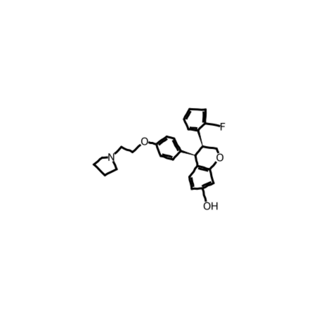 Oc1ccc2c(c1)OC[C@H](c1ccccc1F)[C@@H]2c1ccc(OCCN2CCCC2)cc1